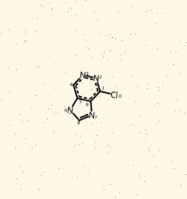 Clc1nncc2c1N=C[N]2